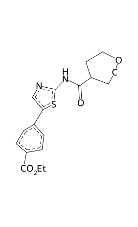 CCOC(=O)c1ccc(-c2cnc(NC(=O)C3CCOCC3)s2)cc1